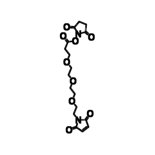 O=C(CCOCCOCCOCCN1C(=O)C=CC1=O)ON1C(=O)CCC1=O